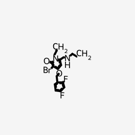 C=CCNCc1cc(OCc2ccc(F)cc2F)c(Br)c(=O)n1CC=C